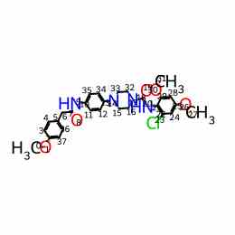 COc1ccc(CC(=O)Nc2ccc(N3CCN(C(=O)Nc4c(Cl)cc(OC)cc4OC)CC3)cc2)cc1